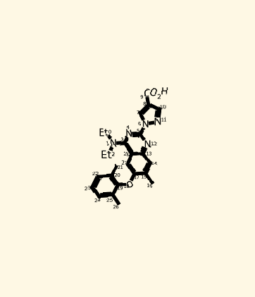 CCN(CC)c1nc(-n2cc(C(=O)O)cn2)nc2cc(C)c(Oc3c(C)cccc3C)cc12